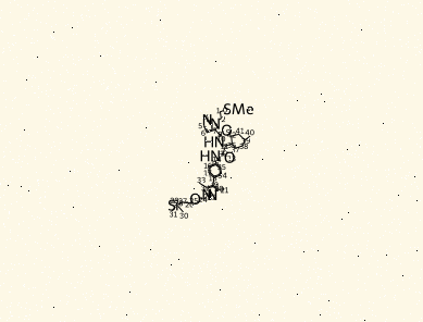 CSCCn1nccc1C(=O)N[C@H](C(=O)Nc1ccc(-c2c(C)nn(COCC[Si](C)(C)C)c2C)cc1)C1CCC(C)CC1